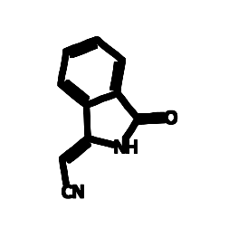 N#CC=C1NC(=O)c2ccccc21